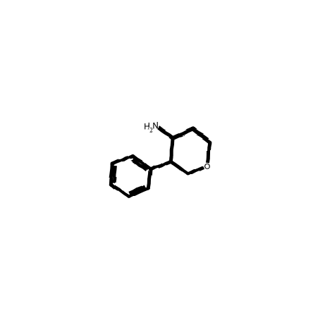 NC1CCOCC1c1ccccc1